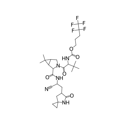 CC(C)(C)C(NC(=O)OCCCC(F)(F)C(F)(F)F)C(=O)N1CC2C(C1C(=O)NC(C#N)CC1CC3(CC3)NC1=O)C2(C)C